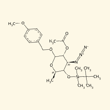 COc1ccc(COC2O[C@H](C)C(O[Si](C)(C)C(C)(C)C)[C@H](N=[N+]=[N-])C2OC(C)=O)cc1